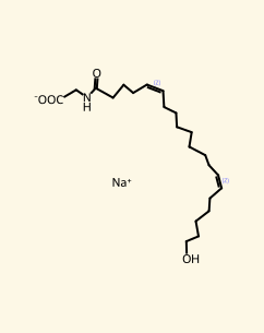 O=C([O-])CNC(=O)CCC/C=C\CCCCCCC/C=C\CCCCCO.[Na+]